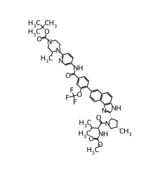 COC(=O)NC(C(=O)N1C[C@@H](C)C[C@H]1c1nc2c(ccc3cc(-c4ccc(C(=O)Nc5ccc(N6CCN(C(=O)OC(C)(C)C)CC6C)nc5)cc4OC(F)(F)F)ccc32)[nH]1)C(C)C